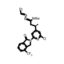 CC/C=N/N=C(/C[C@@H](C)c1cc(Cl)nc(N2Cc3c(cccc3C(F)(F)F)C2=O)c1)NC